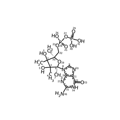 CC1(O)C(C)(O)[C@](C)(n2cnc3c(=O)[nH]c(N)nc32)O[C@]1(C)COP(=O)(O)OP(=O)(O)O